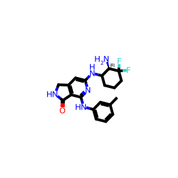 Cc1cccc(Nc2nc(NC3CCCC(F)(F)[C@@H]3N)cc3c2C(=O)NC3)c1